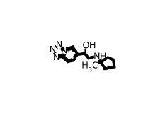 CC1(NC[C@H](O)c2ccc3nnnn3c2)CCCC1